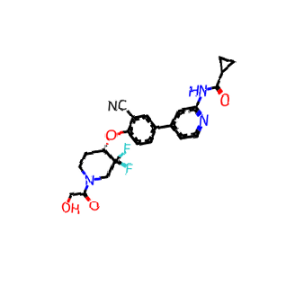 N#Cc1cc(-c2ccnc(NC(=O)C3CC3)c2)ccc1O[C@H]1CCN(C(=O)CO)CC1(F)F